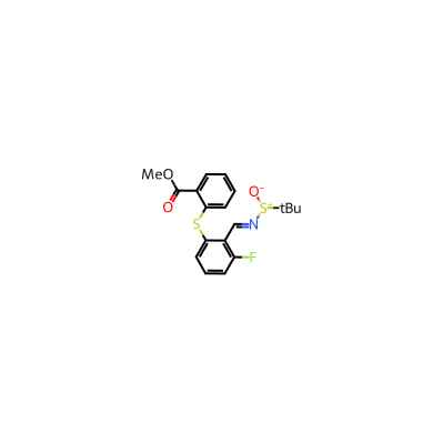 COC(=O)c1ccccc1Sc1cccc(F)c1C=N[S+]([O-])C(C)(C)C